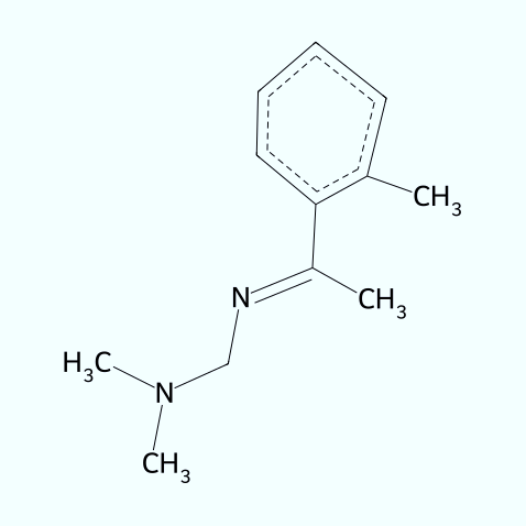 C/C(=N\CN(C)C)c1ccccc1C